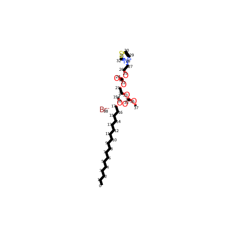 CCCCCCCCCCCCCCCCCCOC[C@H](COC(=O)OCC[n+]1ccsc1)OC(=O)OC.[Br-]